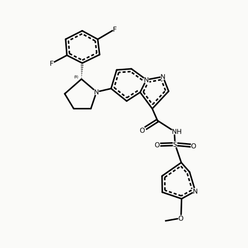 COc1ccc(S(=O)(=O)NC(=O)c2cnn3ccc(N4CCC[C@@H]4c4cc(F)ccc4F)cc23)cn1